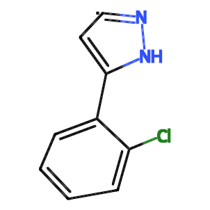 Clc1ccccc1-c1c[c]n[nH]1